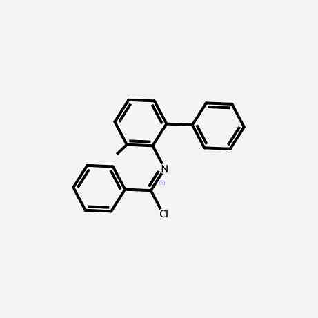 Cc1cccc(-c2ccccc2)c1/N=C(/Cl)c1ccccc1